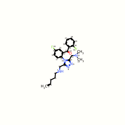 C=CCCCNCc1nnc(CN(C)C)n1-c1ccc(F)cc1C(=O)c1ccccc1F